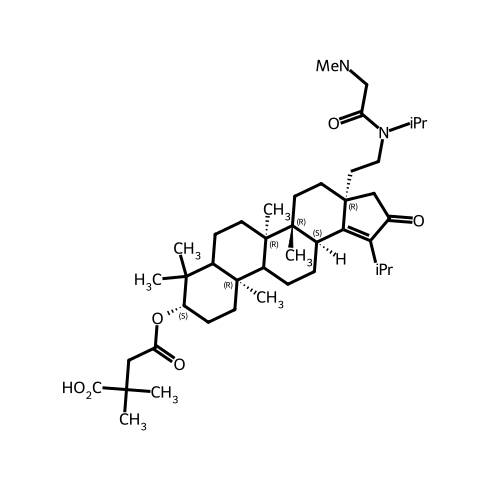 CNCC(=O)N(CC[C@@]12CC[C@]3(C)[C@H](CCC4[C@@]5(C)CC[C@H](OC(=O)CC(C)(C)C(=O)O)C(C)(C)C5CC[C@]43C)C1=C(C(C)C)C(=O)C2)C(C)C